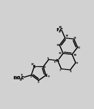 CCOC(=O)c1cnc(CN2CCCc3ccc(C(F)(F)F)cc32)s1